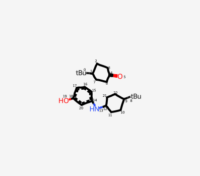 CC(C)(C)C1CCC(=O)CC1.CC(C)(C)C1CCC(Nc2cccc(O)c2)CC1